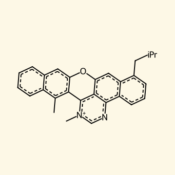 Cc1c2c(cc3ccccc13)Oc1cc3c(CC(C)C)cccc3c3nc[n+](C)c-2c13